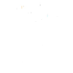 O=POC(F)C(F)(F)C(=CF)c1ccc(-c2ccccc2)cc1